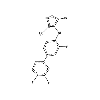 Cn1ncc(Br)c1Nc1ccc(-c2ccc(F)c(F)c2)cc1F